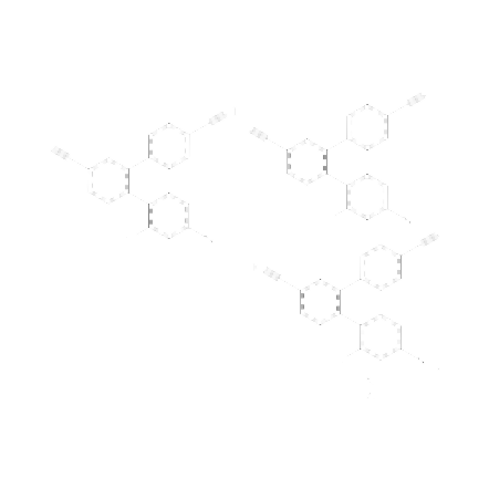 C#Cc1ccc(-c2cc(C#C)ccc2-c2ccc([N+](=O)[O-])cc2[S-])cc1.C#Cc1ccc(-c2cc(C#C)ccc2-c2ccc([N+](=O)[O-])cc2[S-])cc1.C#Cc1ccc(-c2cc(C#C)ccc2-c2ccc([N+](=O)[O-])cc2[S-])cc1.[Au+3].[Au+3]